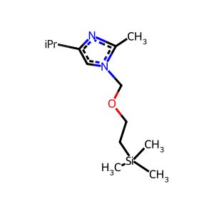 Cc1nc(C(C)C)cn1COCC[Si](C)(C)C